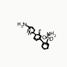 Nc1ccc(-c2ccc(-c3ccccc3S(N)(=O)=O)cc2F)nn1